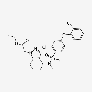 CCOC(=O)Cn1ncc2c1CCC[C@H]2N(C)S(=O)(=O)c1ccc(Oc2ccccc2Cl)cc1Cl